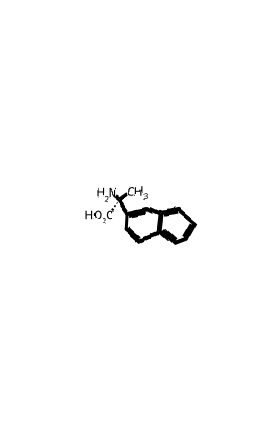 C[C@@](N)(C(=O)O)c1ccc2ccccc2c1